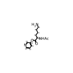 CC(=O)N[C@@H](CCCCN)C(=O)Oc1cccnc1